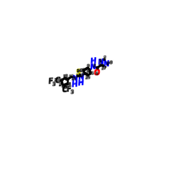 Cn1cnc(C(=O)Nc2ccc(NC(=S)NCc3cc(C(F)(F)F)cc(C(F)(F)F)c3)cc2)c1